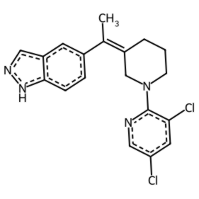 C/C(=C1\CCCN(c2ncc(Cl)cc2Cl)C1)c1ccc2[nH]ncc2c1